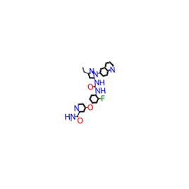 CCc1cc(NC(=O)Nc2ccc(Oc3ccnc(C(=O)NC)c3)cc2F)n(-c2ccc3ncccc3c2)n1